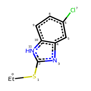 [CH2]CSc1nc2cc(Cl)ccc2[nH]1